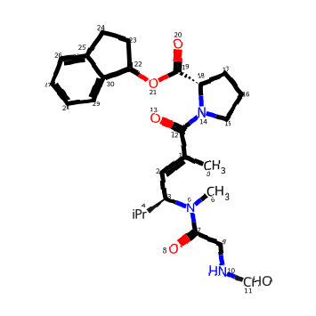 C/C(=C\[C@H](C(C)C)N(C)C(=O)CNC=O)C(=O)N1CCC[C@H]1C(=O)OC1CCc2ccccc21